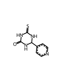 O=C1NC(=S)NC(c2ccncc2)N1